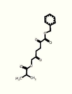 CC(C)C(=O)OCC(=O)CCC(=O)C(=O)OCc1ccccc1